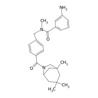 CN(Cc1ccc(C(=O)N2CC3(C)CC2CC(C)(C)C3)cc1)C(=O)c1cccc(N)c1